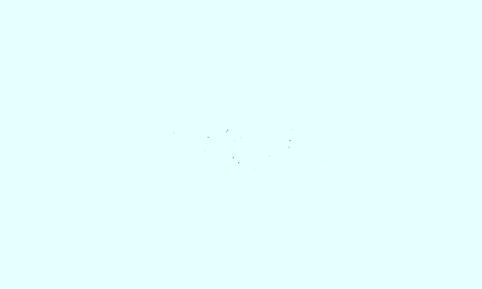 COC(=O)C=C(N)COC(C)=O